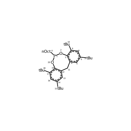 CCCCCCCCP1Oc2c(cc(C(C)(C)C)cc2C(C)(C)C)Cc2cc(C(C)(C)C)cc(C(C)(C)C)c2O1